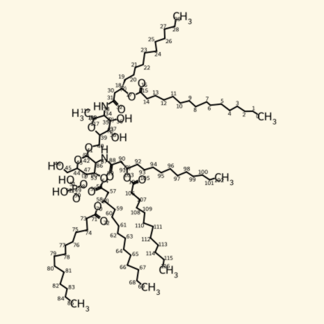 CCCCCCCCCCCCCCCC(=O)O[C@H](CCCCCCCCCCC)CC(=O)NC1[C@@H](O)[C@H](O)C(CO[C@@H]2OC(CO)[C@@H](OP(=O)(O)O)[C@H](OC(=O)C[C@@H](CCCCCCCCCCC)OC(=O)CCCCCCCCCCCCC)C2NC(=O)C[C@@H](CCCCCCCCCCC)OC(=O)CCCCCCCCCCC)O[C@@H]1C